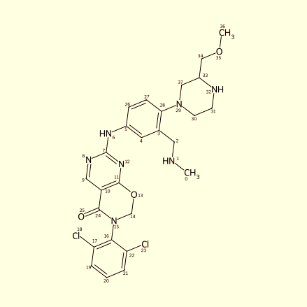 CNCc1cc(Nc2ncc3c(n2)OCN(c2c(Cl)cccc2Cl)C3=O)ccc1N1CCNC(COC)C1